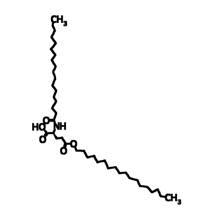 CCCCCCCCCCCCCCCCCCOC(=O)CC[C@H](NC(=O)CCCCCCCCCCCCCCCCC)C(=O)O